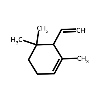 [CH]=CC1C(C)=CCCC1(C)C